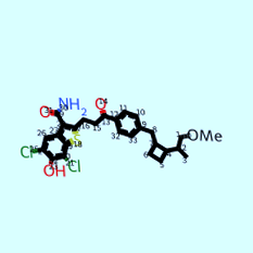 COCC(C)C1CCC1Cc1ccc(C(=O)CCc2sc3c(Cl)c(O)c(Cl)cc3c2C(N)=O)cc1